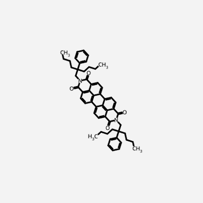 CCCCC(CCCC)(CN1C(=O)c2ccc3c4ccc5c6c(ccc(c7ccc(c2c37)C1=O)c64)C(=O)N(CC(CCCC)(CCCC)c1ccccc1)C5=O)c1ccccc1